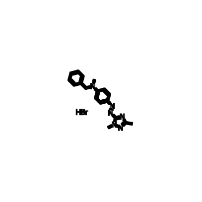 Br.Cc1nc(N=Nc2ccc(N(C)Cc3ccccc3)cc2)n(C)n1